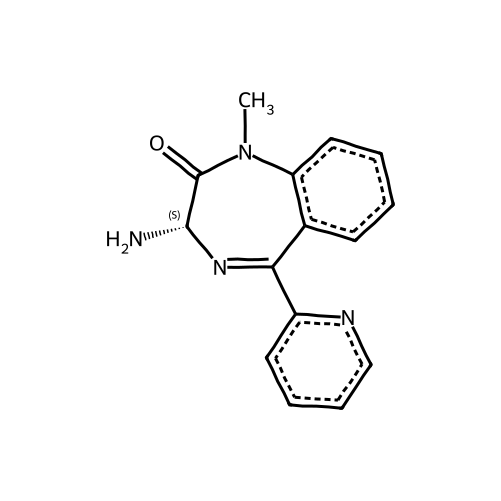 CN1C(=O)[C@@H](N)N=C(c2ccccn2)c2ccccc21